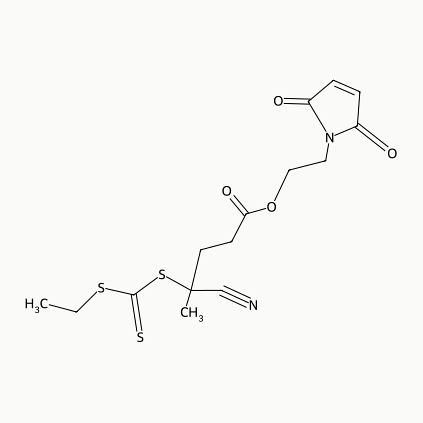 CCSC(=S)SC(C)(C#N)CCC(=O)OCCN1C(=O)C=CC1=O